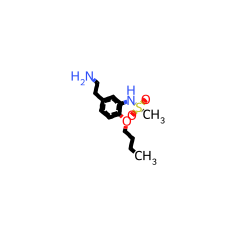 CCCCOc1ccc(CCN)cc1NS(C)(=O)=O